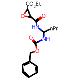 CCCC(NC(=O)OCc1ccccc1)NC(=O)C1OC1C(=O)OCC